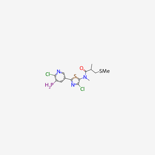 CSCC(C)C(=O)N(C)c1sc(-c2cnc(Cl)c(P)c2)nc1Cl